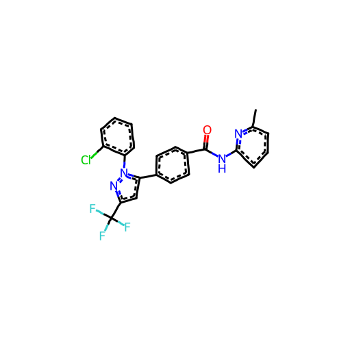 Cc1cccc(NC(=O)c2ccc(-c3cc(C(F)(F)F)nn3-c3ccccc3Cl)cc2)n1